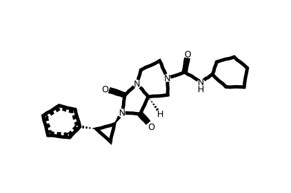 O=C(NC1CCCCC1)N1CCN2C(=O)N([C@H]3C[C@@H]3c3ccccc3)C(=O)[C@@H]2C1